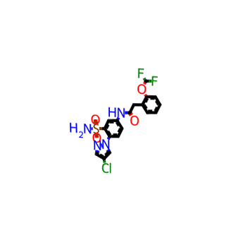 NS(=O)(=O)c1cc(NC(=O)Cc2ccccc2OC(F)F)ccc1-n1cc(Cl)cn1